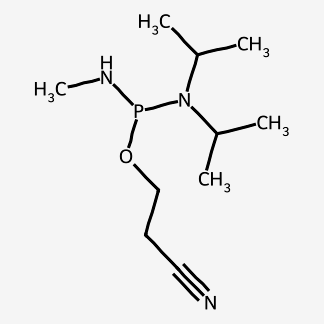 CNP(OCCC#N)N(C(C)C)C(C)C